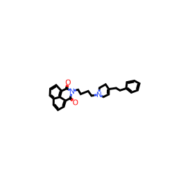 O=C1c2cccc3cccc(c23)C(=O)N1CCCCN1CC=C(CCc2ccccc2)CC1